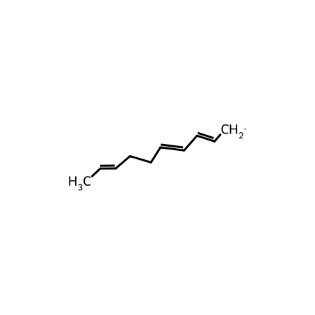 [CH2]C=CC=CCCC=CC